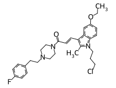 CCOc1ccc2c(c1)c(/C=C/C(=O)N1CCN(CCc3ccc(F)cc3)CC1)c(C)n2CCCCl